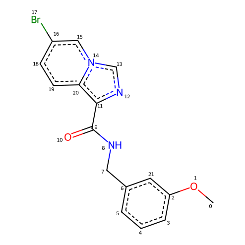 COc1cccc(CNC(=O)c2ncn3cc(Br)ccc23)c1